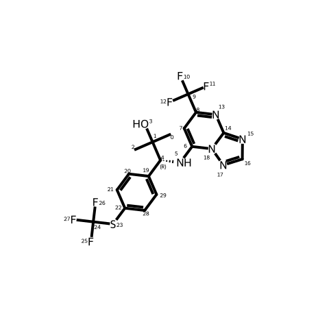 CC(C)(O)[C@H](Nc1cc(C(F)(F)F)nc2ncnn12)c1ccc(SC(F)(F)F)cc1